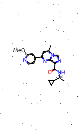 COc1cc(-c2cc(C)n3cnc(C(=O)N[C@@H](C)C4CC4)c3n2)ccn1